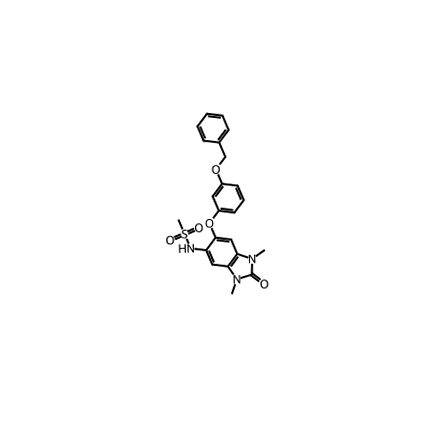 Cn1c(=O)n(C)c2cc(Oc3cccc(OCc4ccccc4)c3)c(NS(C)(=O)=O)cc21